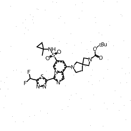 CC1(NS(=O)(=O)c2cc(N3CCC4(CN(C(=O)OC(C)(C)C)C4)C3)c3cnc(-c4nnc(C(F)F)s4)n3c2)CC1